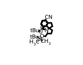 CC(C)(C)OC(=O)N1C(CO[Si](C)(C)C(C)(C)C)CCC12CCc1c(C#N)cccc12